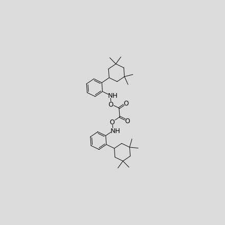 CC1(C)CC(c2ccccc2NOC(=O)C(=O)ONc2ccccc2C2CC(C)(C)CC(C)(C)C2)CC(C)(C)C1